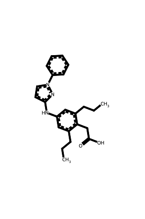 CCCc1cc(Nc2ccn(-c3ccccc3)n2)cc(CCC)c1CC(=O)O